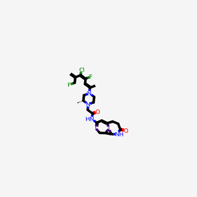 C=C(CF)/C(Cl)=C(F)\C=C(/C)N1CCN(CC(=O)NC2=ICC3C4NC(=O)CCC(=C2)I34)[C@H](C)C1